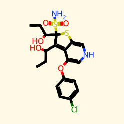 CCC(O)C1=C2C(Oc3ccc(Cl)cc3)=CNC=C2SC1(C(O)CC)S(N)(=O)=O